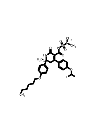 CCCCCCOc1ccc([C@]2(C)CC(c3ccc(OC(F)F)cc3)=C(C(=O)NS(=O)(=O)N(C)C)C(=O)N2)cc1